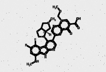 CNc1cc(F)c(F)c2c1[nH]c1ncc(-c3cnc4c(c3)c(=O)c(C(=O)O)cn4COC)c(N3CCC4CN(C)C[C@H]43)c12